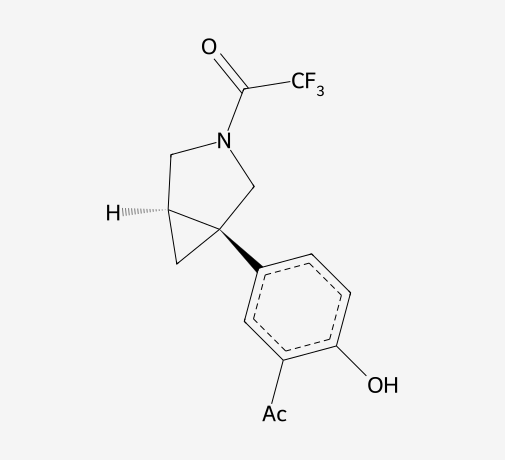 CC(=O)c1cc([C@@]23C[C@H]2CN(C(=O)C(F)(F)F)C3)ccc1O